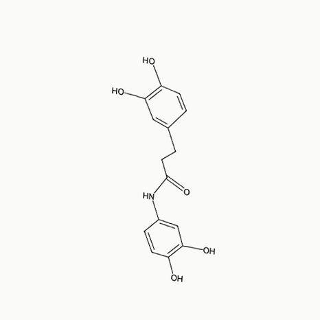 O=C(CCc1ccc(O)c(O)c1)Nc1ccc(O)c(O)c1